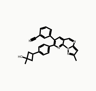 Cc1cc2ncc3cc(-c4cccc(C#N)c4)c(-c4ccc(C5CC(C)(O)C5)cc4)nc3n2n1